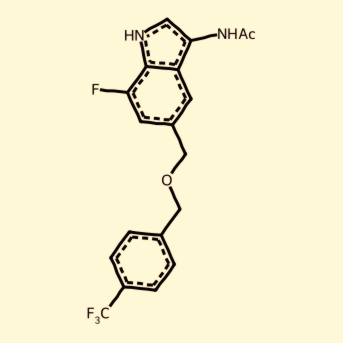 CC(=O)Nc1c[nH]c2c(F)cc(COCc3ccc(C(F)(F)F)cc3)cc12